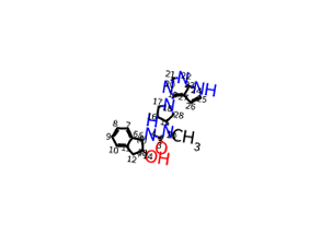 CN(C(=O)N[C@@H]1c2ccccc2C[C@H]1O)C1CCN(c2ncnc3[nH]ccc23)C1